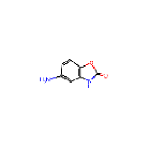 Nc1ccc2oc(=O)[nH]c2c1